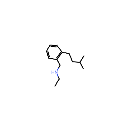 CCNCc1ccc[c]c1CCC(C)C